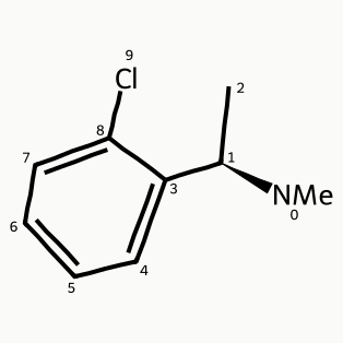 CN[C@H](C)c1ccccc1Cl